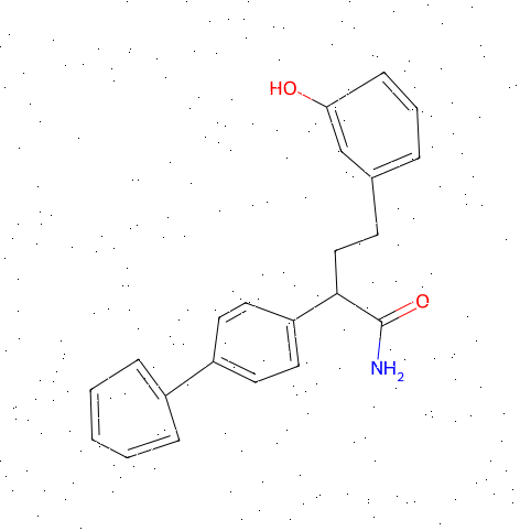 NC(=O)C(CCc1cccc(O)c1)c1ccc(-c2ccccc2)cc1